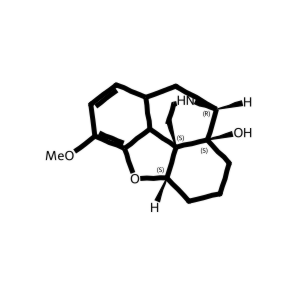 COC1=C2O[C@H]3CCC[C@@]4(O)[C@H]5CC(C=C1)C2[C@@]34CCN5